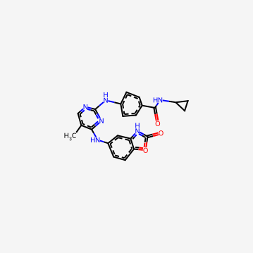 Cc1cnc(Nc2ccc(C(=O)NC3CC3)cc2)nc1Nc1ccc2oc(=O)[nH]c2c1